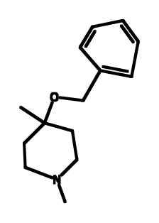 CN1CCC(C)(OCc2ccccc2)CC1